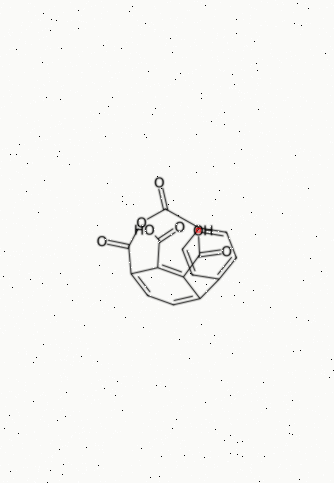 O=C(O)c1c(C(=O)O)c2ccc1c(=O)oc(=O)c1ccc2cc1